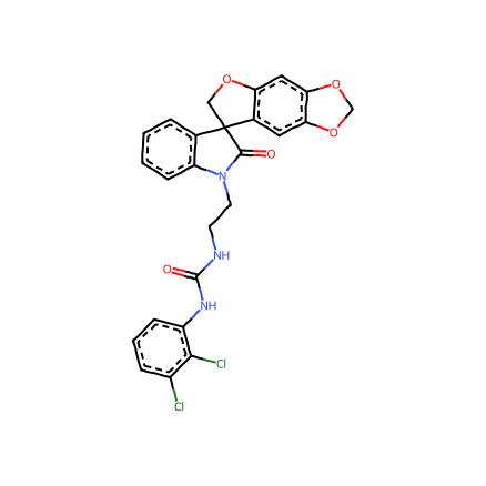 O=C(NCCN1C(=O)C2(COc3cc4c(cc32)OCO4)c2ccccc21)Nc1cccc(Cl)c1Cl